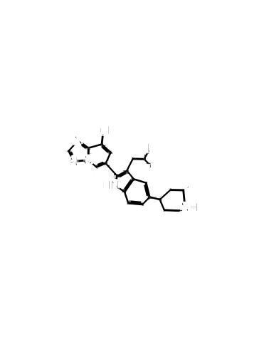 Cc1cc(-c2[nH]c3ccc(C4CCNCC4)cc3c2CC(F)F)cn2ncnc12